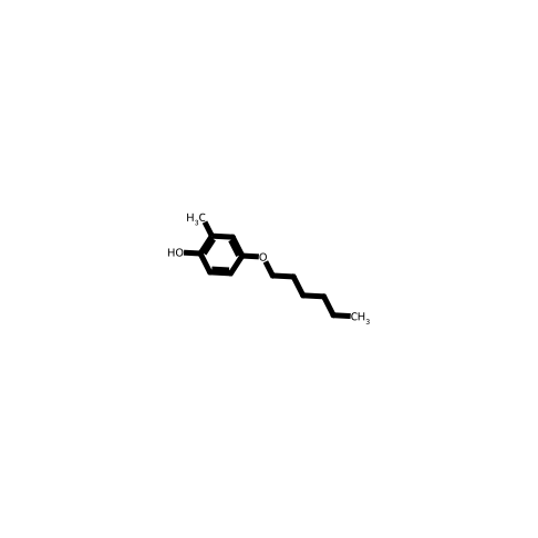 CCCCCCOc1ccc(O)c(C)c1